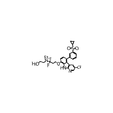 CCN(CCO)C(F)(F)CCOc1ccc(-c2cccc(S(=O)(=O)C3CC3)c2)c2c1[nH]c1ncc(Cl)cc12